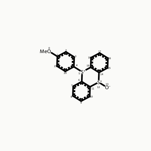 COc1ccc([S+]2c3ccccc3[S+]([O-])c3ccccc32)cc1